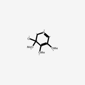 COC1=C(OC)C(Cl)(OC)CN=C1